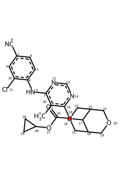 Cc1c(Nc2ccc(C#N)cc2Cl)ncnc1OC1C2COCC1CN(C(=O)OC1CC1)C2